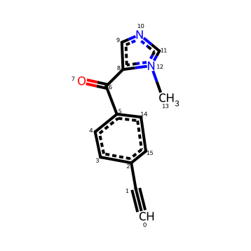 C#Cc1ccc(C(=O)c2cncn2C)cc1